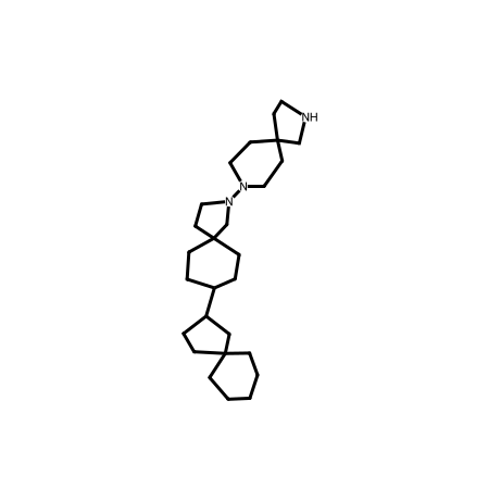 C1CCC2(CC1)CCC(C1CCC3(CC1)CCN(N1CCC4(CCNC4)CC1)C3)C2